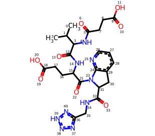 CC(C)C(NC(=O)CCC(=O)O)C(=O)NC(CCC(=O)O)C(=O)N1c2ncccc2CC1C(=O)NCc1nn[nH]n1